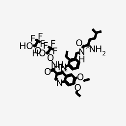 CCOc1cc2ncc(C(N)=O)c(Nc3cccc(CNC(=O)[C@@H](N)CCC(C)C)c3CC)c2cc1OCC.O=C(O)C(F)(F)F.O=C(O)C(F)(F)F